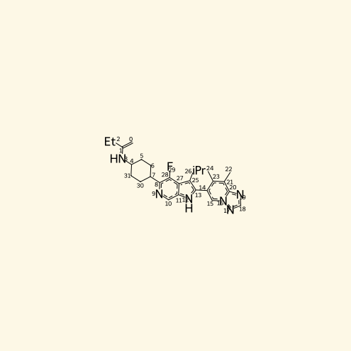 C=C(CC)NC1CCC(c2ncc3[nH]c(-c4cn5ncnc5c(C)c4C)c(C(C)C)c3c2F)CC1